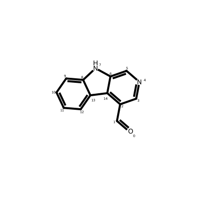 O=Cc1cncc2[nH]c3ccccc3c12